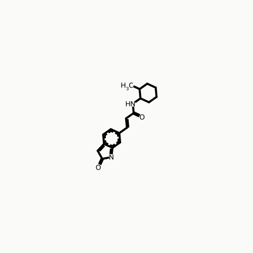 CC1CCCCC1NC(=O)/C=C/c1ccc2c(c1)=NC(=O)C=2